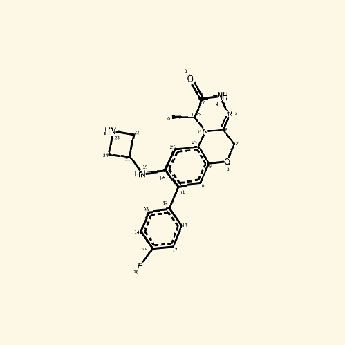 C[C@H]1C(=O)NN=C2COc3cc(-c4ccc(F)cc4)c(NC4CNC4)cc3N21